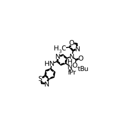 Cc1ocnc1N(C(=O)OC(C)(C)C)c1cnc(Nc2ccc3ncsc3c2)cc1NC(C)C